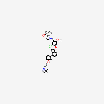 CCOc1cc(O[C@H]2CCc3c(-c4cccc(OCCCN5CCC5(C)C)c4C)cccc32)c(Cl)cc1CN1CC[C@H](C(=O)OC)C1